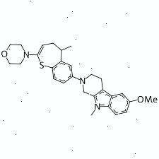 COc1ccc2c(c1)c1c(n2C)CN(c2ccc3c(c2)C(C)CC=C(N2CCOCC2)S3)CC1